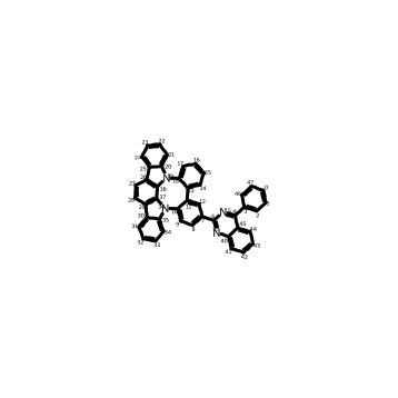 c1ccc(-c2nc(-c3ccc4c(c3)c3ccccc3n3c5ccccc5c5ccc6c7ccccc7n4c6c53)nc3ccccc23)cc1